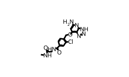 CNC(=O)CNC(=O)c1ccc(COc2cc(N)nc3[nH]nnc23)c(Cl)c1